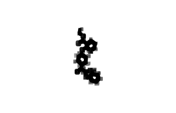 CCOC(=O)c1cccnc1Oc1ccc(C(=O)c2nc3ccccc3[nH]2)cc1